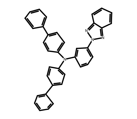 c1ccc(-c2ccc(N(c3ccc(-c4ccccc4)cc3)c3cccc(-n4nc5ccccc5n4)c3)cc2)cc1